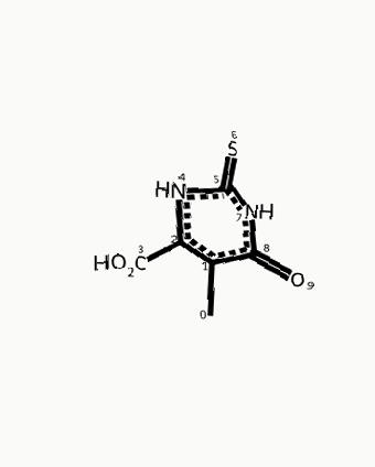 Cc1c(C(=O)O)[nH]c(=S)[nH]c1=O